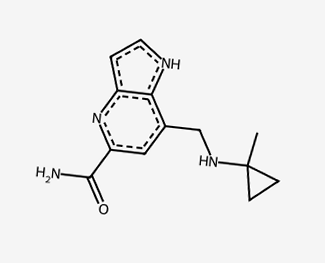 CC1(NCc2cc(C(N)=O)nc3cc[nH]c23)CC1